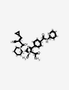 N#C/C(=C\C1CC1)C(=O)N1CCCC[C@H]1c1nc(-c2ccc(C(=O)Nc3ccccn3)cc2)c(C(N)=O)n1N